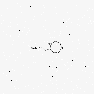 CNCCC1CC[N]CCN1